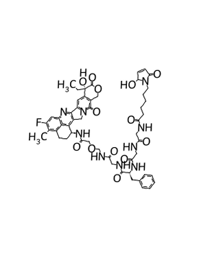 CC[C@@]1(O)C(=O)OCc2c1cc1n(c2=O)Cc2c-1nc1cc(F)c(C)c3c1c2[C@@H](NC(=O)COCNC(=O)CNC(=O)[C@H](Cc1ccccc1)NC(=O)CNC(=O)CNC(=O)CCCCCN1C(=O)C=CC1O)CC3